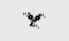 CC(N)CO[Si](C)(Oc1ccc(N)cc1)Oc1ccc(N)cc1